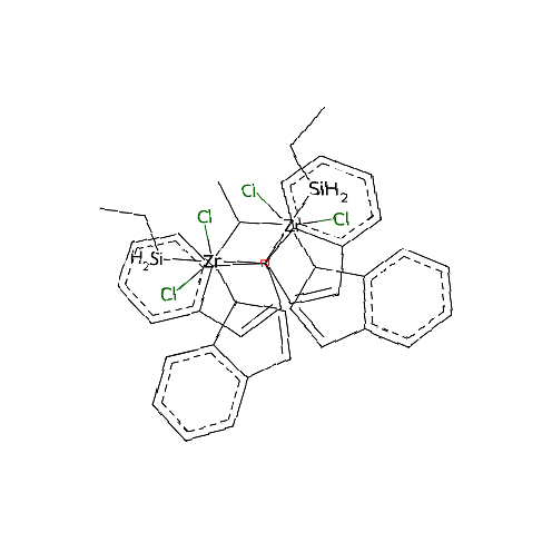 CC[SiH2][Zr]([Cl])([Cl])([CH]1C=Cc2ccccc21)([CH]1C=Cc2ccccc21)[CH](C)[Zr]([Cl])([Cl])([SiH2]CC)([CH]1C=Cc2ccccc21)[CH]1C=Cc2ccccc21